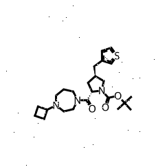 CC(C)(C)OC(=O)N1C[C@H](Cc2ccsc2)C[C@H]1C(=O)N1CCCN(C2CCC2)CC1